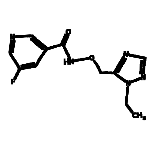 CCn1ncnc1CONC(=O)c1cncc(F)c1